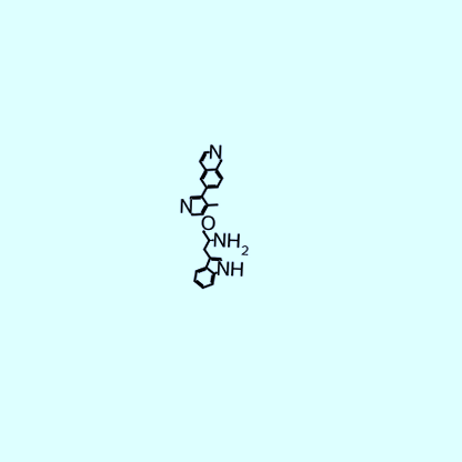 Cc1c(OC[C@@H](N)Cc2c[nH]c3ccccc23)cncc1-c1ccc2cnccc2c1